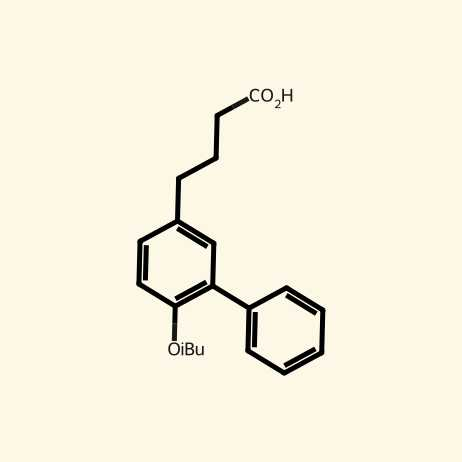 CC(C)COc1ccc(CCCC(=O)O)cc1-c1ccccc1